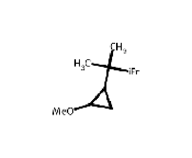 COC1CC1C(C)(C)C(C)C